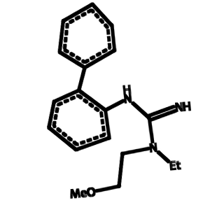 CCN(CCOC)C(=N)Nc1ccccc1-c1ccccc1